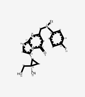 CCN(Cc1cc(=O)n2c([C@@H]3C[C@@]3(C#N)CO)csc2n1)c1ccc(F)cc1